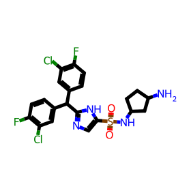 NC1CCC(NS(=O)(=O)c2cnc(C(c3ccc(F)c(Cl)c3)c3ccc(F)c(Cl)c3)[nH]2)C1